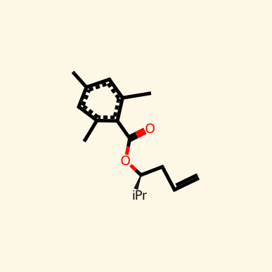 C=CC[C@H](OC(=O)c1c(C)cc(C)cc1C)C(C)C